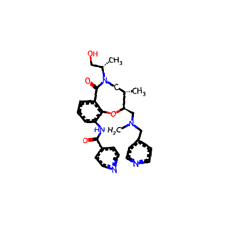 C[C@H]1CN([C@@H](C)CO)C(=O)c2cccc(NC(=O)c3ccncc3)c2O[C@@H]1CN(C)Cc1ccncc1